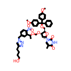 COc1ccc(C(OC[C@H]2O[C@@H](n3cc(C)c(=O)[nH]c3=O)C[C@@H]2OCOC(C)c2cc(Cn3cc(CCCCO)nn3)ccc2[N+](=O)[O-])(c2ccccc2)c2ccc(OC)cc2)cc1